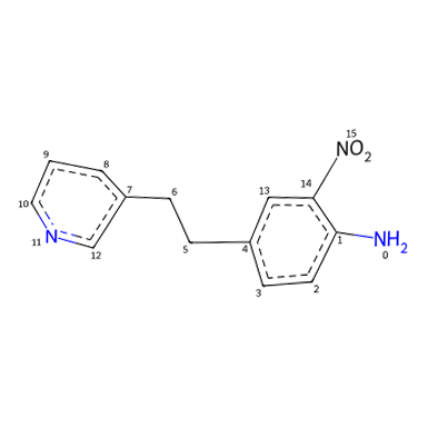 Nc1ccc(CCc2cccnc2)cc1[N+](=O)[O-]